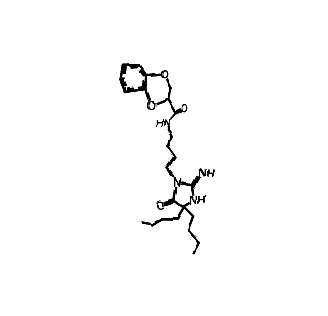 CCCCC1(CCCC)NC(=N)N(CCCCNC(=O)C2COc3ccccc3O2)C1=O